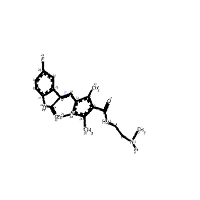 CCN(C)CCNC(=O)c1c(C)c(/C=C2\C(=O)Nc3ccc(F)cc32)n(CC)c1C